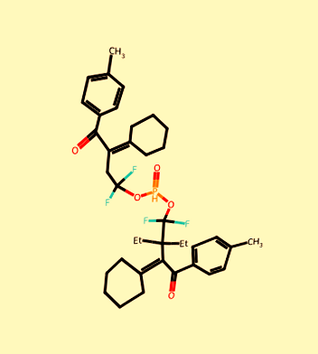 CCC(CC)(C(C(=O)c1ccc(C)cc1)=C1CCCCC1)C(F)(F)O[PH](=O)OC(F)(F)CC(C(=O)c1ccc(C)cc1)=C1CCCCC1